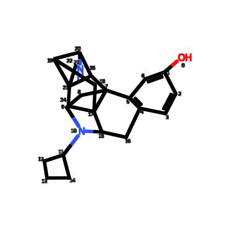 Oc1ccc2c(c1)C13CCN(C4CCC4)C(C2)C12CC1C4NCC1(C2)C43